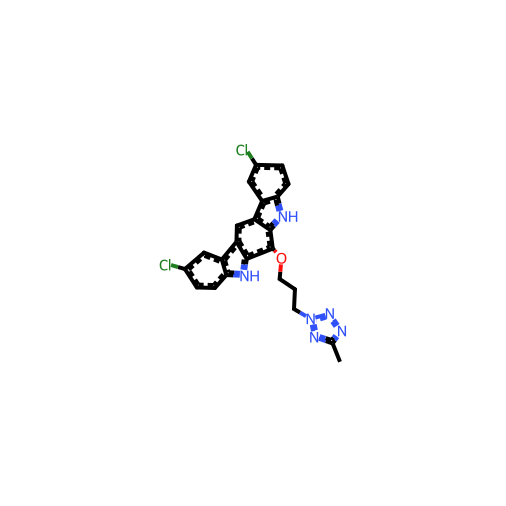 Cc1nnn(CCCOc2c3[nH]c4ccc(Cl)cc4c3cc3c2[nH]c2ccc(Cl)cc23)n1